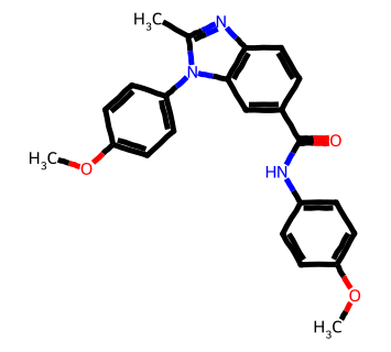 COc1ccc(NC(=O)c2ccc3nc(C)n(-c4ccc(OC)cc4)c3c2)cc1